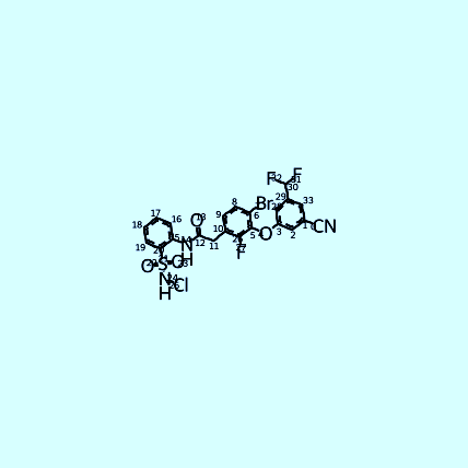 N#Cc1cc(Oc2c(Br)ccc(CC(=O)Nc3ccccc3S(=O)(=O)NCl)c2F)cc(C(F)F)c1